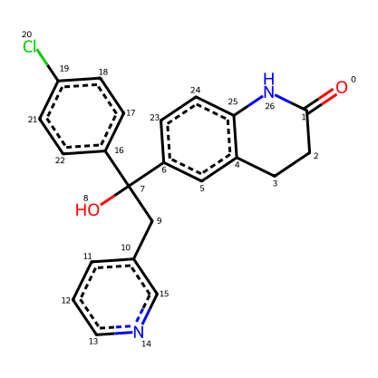 O=C1CCc2cc(C(O)(Cc3cccnc3)c3ccc(Cl)cc3)ccc2N1